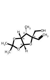 C=C[C@]1(CO)O[C@@H]2OC(C)(C)O[C@@H]2[C@@H]1C